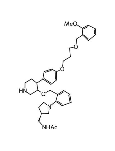 COc1ccccc1COCCCOc1ccc(C2CCNCC2OCc2ccccc2N2CC[C@H](CNC(C)=O)C2)cc1